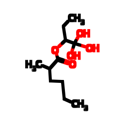 CCCCC(C)C(=O)OC(CC)C(O)(O)O